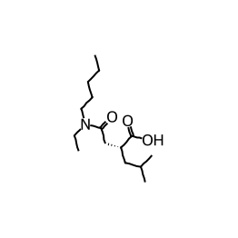 CCCCCN(CC)C(=O)C[C@@H](CC(C)C)C(=O)O